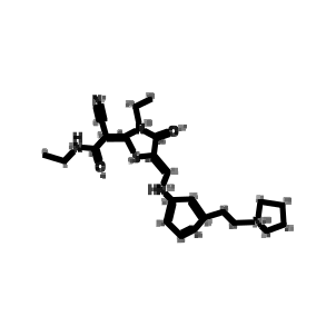 CCNC(=O)C(C#N)=c1sc(=CNc2cccc(CCN3CCCC3)c2)c(=O)n1CC